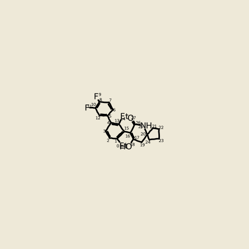 CCc1ccc(-c2ccc(F)c(F)c2)c(CC)c1C1=C(O)CC2(CCCC2)NC1=O